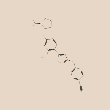 COc1cc(C[C@H]2CCCN2C(C)C)ccc1-c1cc(Nc2cnc(C#N)cn2)n[nH]1